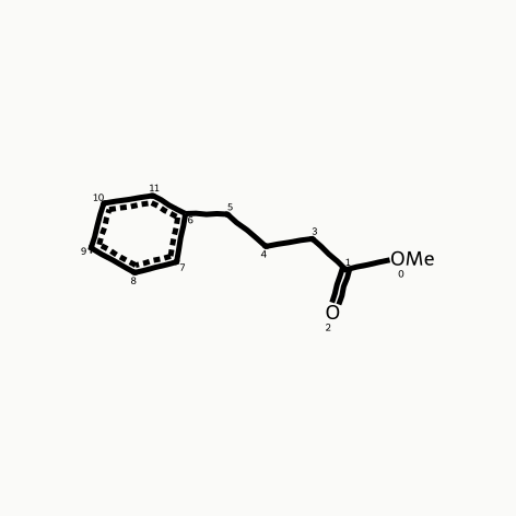 COC(=O)CCCc1cc[c]cc1